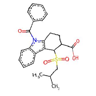 CC(C)CS(=O)(=O)C1c2c(n(C(=O)c3ccccc3)c3ccccc23)CCC1C(=O)O